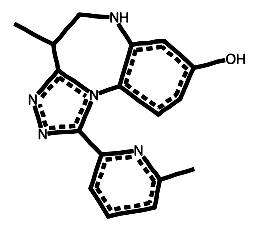 Cc1cccc(-c2nnc3n2-c2ccc(O)cc2NCC3C)n1